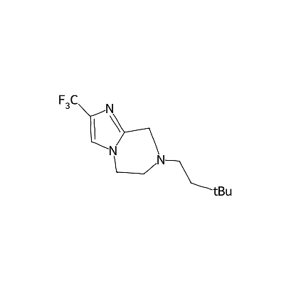 CC(C)(C)CCN1CCn2cc(C(F)(F)F)nc2C1